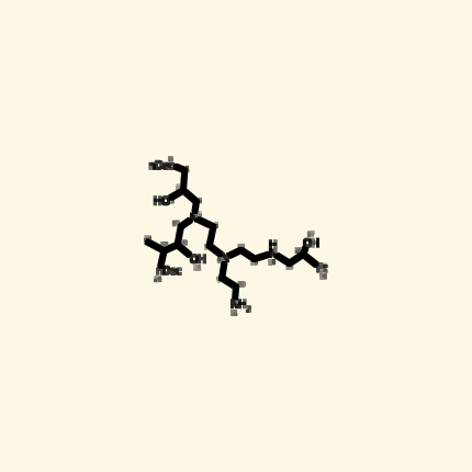 CCCCCCCCCCCC(O)CN(CCN(CCN)CCNCC(O)CC)CC(O)C(C)CCCCCCCCCC